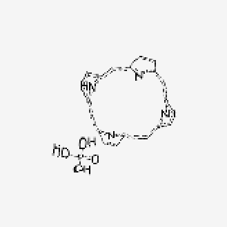 C1=Cc2cc3ccc(cc4nc(cc5ccc(cc1n2)[nH]5)C=C4)[nH]3.O=P(O)(O)O